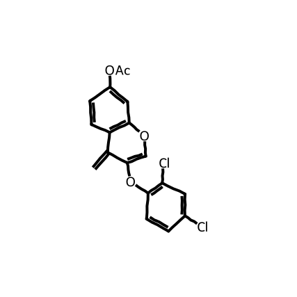 C=C1C(Oc2ccc(Cl)cc2Cl)=COc2cc(OC(C)=O)ccc21